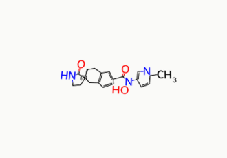 Cc1ccc(N(O)C(=O)c2ccc3c(c2)CC[C@]2(CCNC2=O)C3)cn1